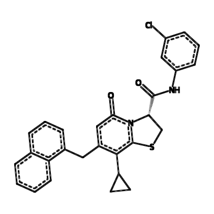 O=C(Nc1cccc(Cl)c1)[C@@H]1CSc2c(C3CC3)c(Cc3cccc4ccccc34)cc(=O)n21